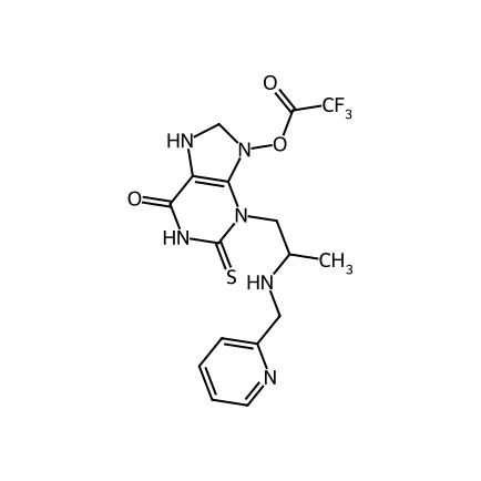 CC(Cn1c2c(c(=O)[nH]c1=S)NCN2OC(=O)C(F)(F)F)NCc1ccccn1